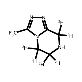 [2H]C1([2H])NC([2H])([2H])C([2H])([2H])n2c(C(F)(F)F)nnc21